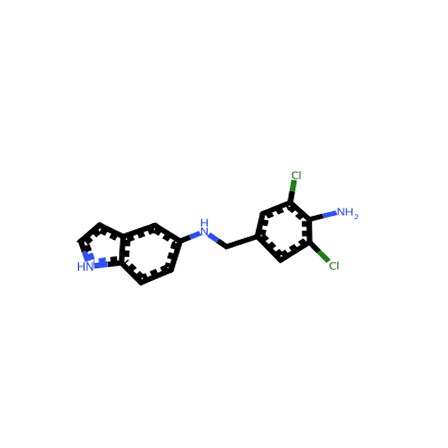 Nc1c(Cl)cc(CNc2ccc3[nH][c]cc3c2)cc1Cl